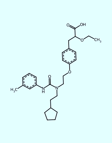 CCOC(Cc1ccc(OCCN(CCC2CCCC2)C(=O)Nc2cccc(C)c2)cc1)C(=O)O